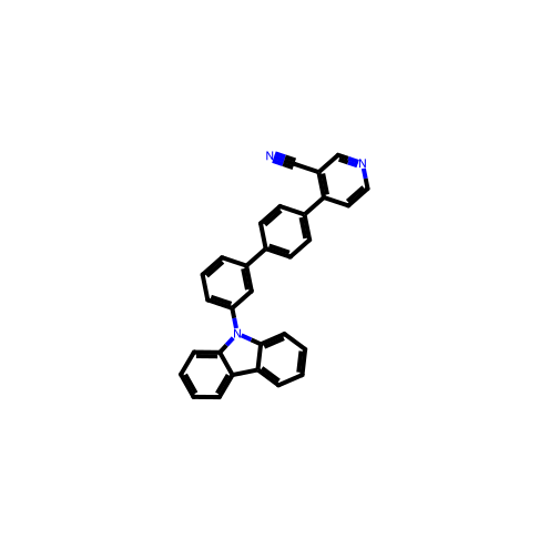 N#Cc1cnccc1-c1ccc(-c2cccc(-n3c4ccccc4c4ccccc43)c2)cc1